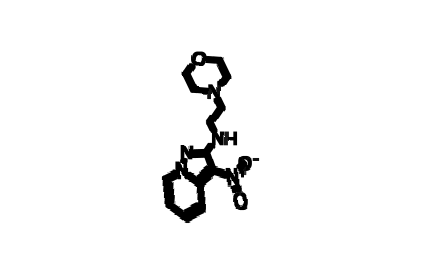 O=[N+]([O-])c1c(NCCN2CCOCC2)nn2ccccc12